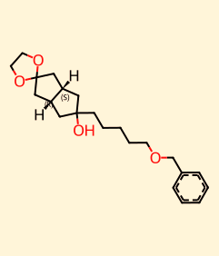 OC1(CCCCCOCc2ccccc2)C[C@@H]2CC3(C[C@@H]2C1)OCCO3